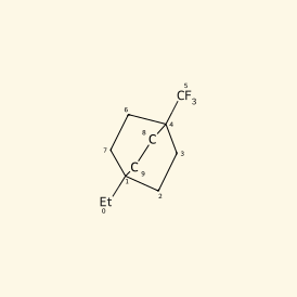 CCC12CCC(C(F)(F)F)(CC1)CC2